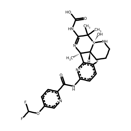 CC1(C)C(NC(=O)O)=N[C@](C)(c2nc(NC(=O)c3ccc(OC(F)F)cn3)ccc2F)[C@H]2CCCN[S@@]21O